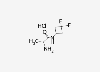 C[C@@H](N)C(=O)NC1CC(F)(F)C1.Cl